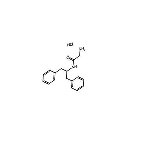 Cl.NCC(=O)NC(Cc1ccccc1)Cc1ccccc1